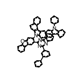 c1ccc(-c2cccc(-c3nc(-c4ccc5c(c4)c4ccccc4n5-c4ccccc4)nc(-c4cc5c(cc4-n4c6cc7ccccc7cc6c6c7ccccc7ccc64)oc4ccccc45)n3)c2)cc1